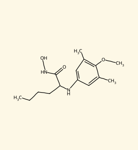 CCCCC(Nc1cc(C)c(OC)c(C)c1)C(=O)NO